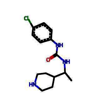 CC(NC(=O)Nc1ccc(Cl)cc1)C1CCNCC1